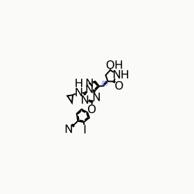 N#Cc1ccc(Oc2nc(NC3CC3)n3ncc(/C=C4\CC(O)NC4=O)c3n2)cc1I